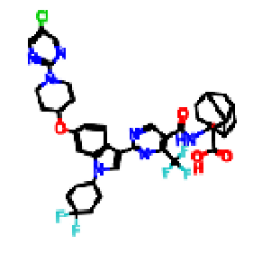 O=C(NC1(C(=O)O)C2CCC3CC(C2)CC1C3)c1cnc(-c2cn(C3CCC(F)(F)CC3)c3cc(OC4CCN(c5ncc(Cl)cn5)CC4)ccc23)nc1C(F)(F)F